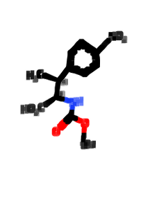 C[C@@H](c1ccc([N+](=O)[O-])cc1)[C@@H](NC(=O)OC(C)(C)C)C(=O)O